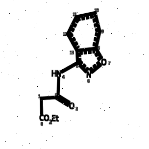 CCOC(=O)CC(=O)Nc1noc2ccccc12